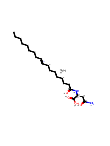 CCCCCCCC/C=C/CCCCCCCC(=O)N[C@@H](CC(N)=O)C(=O)O.[NaH]